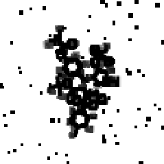 Cc1ccc(S(=O)(=O)N(C(=O)[C@@H]2CC(OS(C)(=O)=O)CN2)[C@@H](Cc2ccc(OC(=O)N(C)C)cc2)C(=O)OC(C)(C)C)cc1